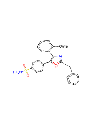 COc1ccccc1-c1nc(Cc2ccccc2)oc1-c1ccc(S(N)(=O)=O)cc1